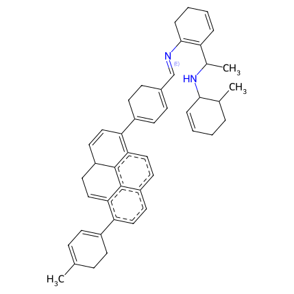 CC1=CC=C(c2ccc3ccc4c5c3c2=CCC5C=CC=4C2=CC=C(/C=N/C3=C(C(C)NC4C=CCCC4C)C=CCC3)CC2)CC1